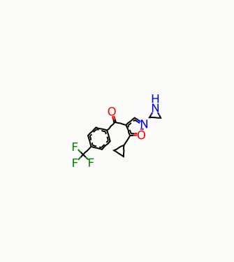 C1CN1.O=C(c1ccc(C(F)(F)F)cc1)c1cnoc1C1CC1